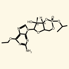 CCOc1nc(N)nc2c1ncn2C1OC2COP(=O)(OC(C)C)O[C@H]2[C@@]1(C)O